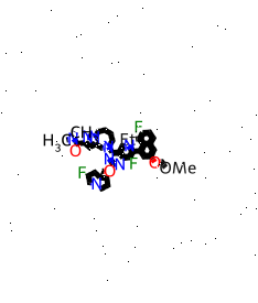 CCc1c(F)ccc2cc(OCOC)cc(-c3ncc4c(N5CCCCn6nc(C(=O)N(C)C)cc6C5)nc(OC[C@@]56CCCN5C[C@H](F)C6)nc4c3F)c12